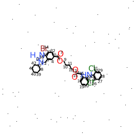 CN(Cc1cc(C(=O)OCCCCOC(=O)Cc2ccccc2Nc2c(Cl)cccc2Cl)cc(Br)c1N)C1CCCCC1